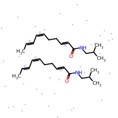 C/C=C/C=C\CC/C=C/C(=O)NCC(C)C.C/C=C/C=C\CC/C=C/C(=O)NCC(C)C